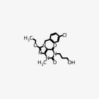 CCOc1nc2c(c(=O)n(CCCO)c(=O)n2C)n1Cc1ccc(Cl)cc1